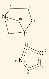 c1coc(C23CCCN(C2)C3)n1